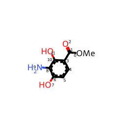 COC(=O)c1ccc(O)c(N)c1O